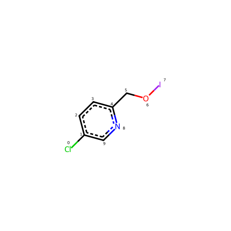 Clc1ccc(COI)nc1